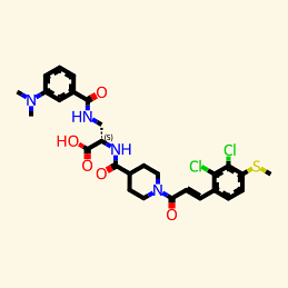 CSc1ccc(C=CC(=O)N2CCC(C(=O)N[C@@H](CNC(=O)c3cccc(N(C)C)c3)C(=O)O)CC2)c(Cl)c1Cl